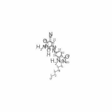 CCCCCCCC(N)N(C)C(=O)c1ccc(/N=N/c2c(C)c(C#N)c(=O)n(N)c2O)cc1